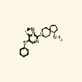 N[C@@H]1CCCC12CCN(c1ncc(Sc3ccccc3)c3ncnn13)CC2